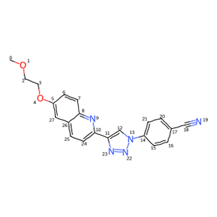 COCCOc1ccc2nc(-c3cn(-c4ccc(C#N)cc4)nn3)ccc2c1